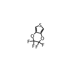 FC1(F)Oc2cscc2OC1(F)F